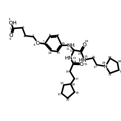 O=C(O)CCCOc1ccc(NC(NC(=O)CCC2CCCC2)C(=O)NCCN2CCCC2)cc1